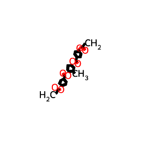 C=CC(=O)Oc1ccc(C(=O)Oc2ccc(OC(=O)c3ccc(OC(=O)C=C)cc3)c(C)c2)cc1